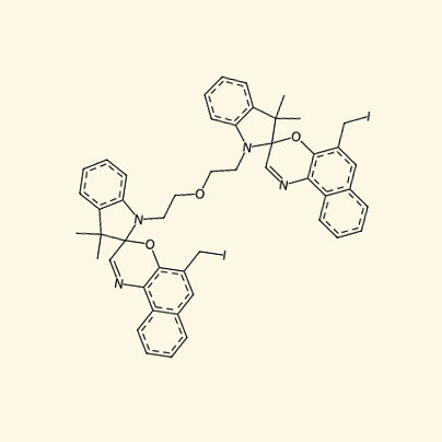 CC1(C)c2ccccc2N(CCOCCN2c3ccccc3C(C)(C)C23C=Nc2c(c(CI)cc4ccccc24)O3)C12C=Nc1c(c(CI)cc3ccccc13)O2